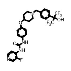 O=C(Nc1ccc(OC2CCN(Cc3ccc(C(O)(C(F)(F)F)C(F)(F)F)cc3)CC2)cc1)Nc1ccncc1F